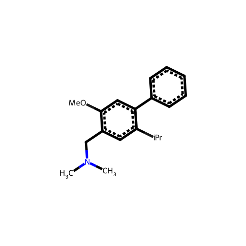 COc1cc(-c2ccccc2)c(C(C)C)cc1CN(C)C